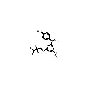 CNc1nc(OCC(F)(P)C(F)F)nc(N(C)c2ccc(N)cc2)n1